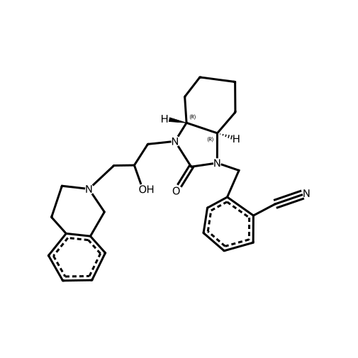 N#Cc1ccccc1CN1C(=O)N(CC(O)CN2CCc3ccccc3C2)[C@@H]2CCCC[C@H]21